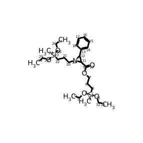 CCO[Si](C)(CCCOC(=O)C1C(c2ccccc2)N1CCC[Si](C)(OCC)OCC)OCC